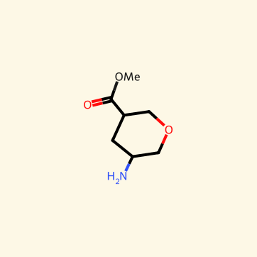 COC(=O)C1COCC(N)C1